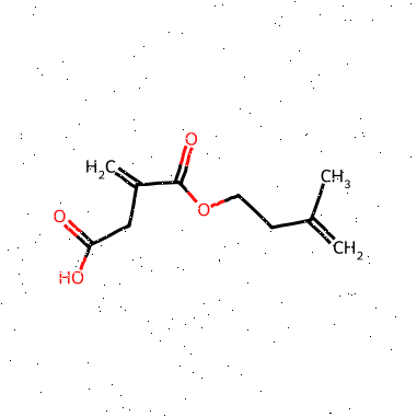 C=C(C)CCOC(=O)C(=C)CC(=O)O